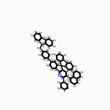 c1ccc(-c2nc3c(cc2-c2cccc4ccccc24)C2(c4ccccc4-c4ccccc42)c2cc(-c4ccc(CC5c6ccccc6-c6ccccc65)cc4)ccc2-3)cc1